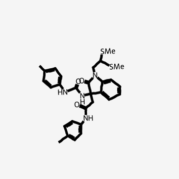 CSC(CN1C(=O)C(CC(=O)Nc2ccc(C)cc2)(NC(=O)Nc2ccc(C)cc2)c2ccccc21)SC